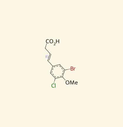 COc1c(Cl)cc(/C=C/CC(=O)O)cc1Br